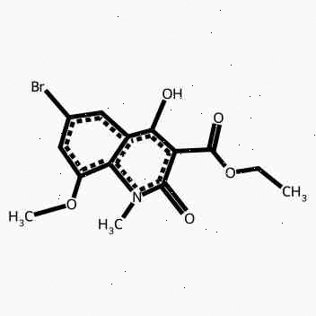 CCOC(=O)c1c(O)c2cc(Br)cc(OC)c2n(C)c1=O